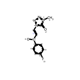 Cn1nnn(/C=C/[S+]([O-])c2ccc(F)cc2)c1=O